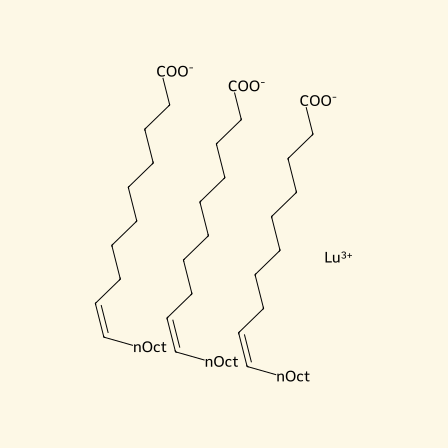 CCCCCCCC/C=C\CCCCCCCC(=O)[O-].CCCCCCCC/C=C\CCCCCCCC(=O)[O-].CCCCCCCC/C=C\CCCCCCCC(=O)[O-].[Lu+3]